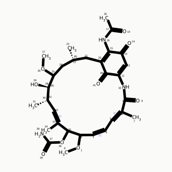 COC1/C=C\C=C(/C)C(=O)NC2=CC(=O)C(NC(C)=O)=C(C[C@@H](C)CC(OC)[C@H](O)[C@@H](C)/C=C(\C)C1OC(N)=O)C2=O